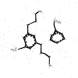 CCOC(=O)c1ccccc1.NCCCc1cc(CCCN)cc(C(=O)O)c1